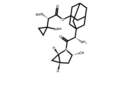 CN[C@H](C(=O)OC12CC3CC(C1)CC([C@H](N)C(=O)N1[C@H](C#N)C[C@@H]4C[C@@H]41)(C3)C2)C1(NC)CC1